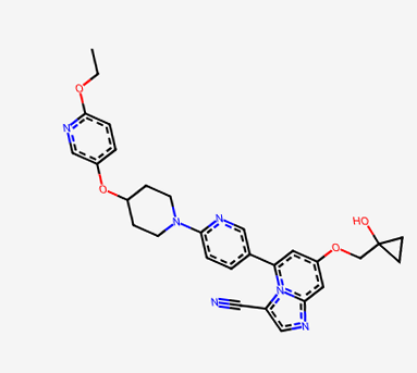 CCOc1ccc(OC2CCN(c3ccc(-c4cc(OCC5(O)CC5)cc5ncc(C#N)n45)cn3)CC2)cn1